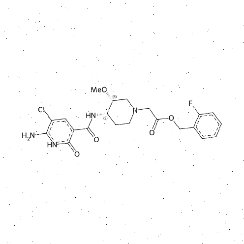 CO[C@@H]1CN(CC(=O)OCc2ccccc2F)CC[C@@H]1NC(=O)c1cc(Cl)c(N)[nH]c1=O